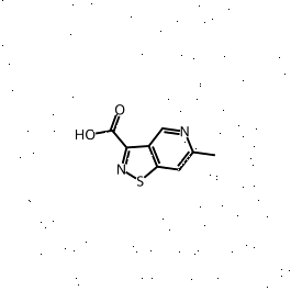 Cc1cc2snc(C(=O)O)c2cn1